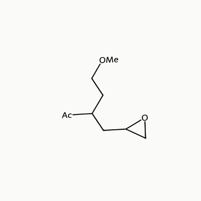 COCCC(CC1CO1)C(C)=O